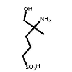 CC(N)(CO)CCCS(=O)(=O)O